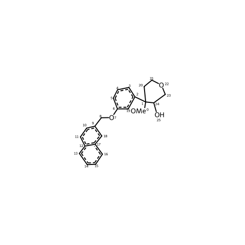 COC1(c2cccc(OCc3ccc4ccccc4c3)c2)CCOCC1O